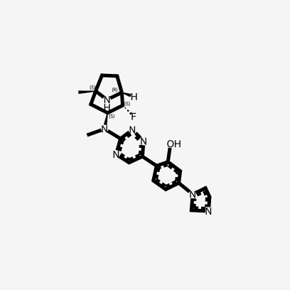 CN(c1ncc(-c2ccc(-n3ccnc3)cc2O)nn1)[C@H]1C[C@]2(C)CC[C@@H](N2)[C@@H]1F